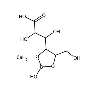 O=C(O)C(O)C(O)C1OB(O)OC1CO.[CaH2]